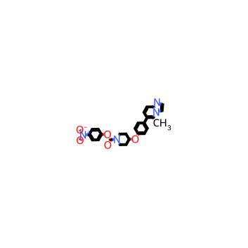 Cc1c(-c2ccc(OC3CCN(C(=O)Oc4ccc([N+](=O)[O-])cc4)CC3)cc2)ccc2nccn12